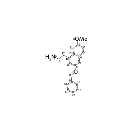 COc1ccc2cc(OCc3ccccc3)cc(CCN)c2c1